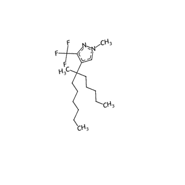 CCCCCCC(C)(CCCCC)c1cn(C)nc1C(F)(F)F